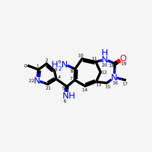 Cc1ccc(C(=N)C2=C(N)C=C3CC(=C2)CN(C)C(=O)N3)cn1